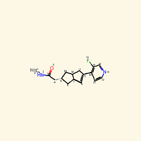 CNC(=O)C[C@H]1CC2C=C(c3ccncc3F)CC2C1